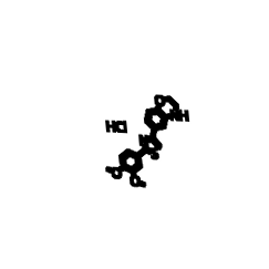 COc1ccc(-c2nc(-c3ccc4c(c3)NCCO4)cs2)cc1OC.Cl